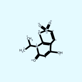 CC(C)n1c2c(c(O)cc1=O)C=CS(=O)(=O)O2